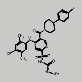 CCCNC(=O)NS(=O)(=O)c1cc(Nc2cc(C)c(Cl)cc2C)c(C(=O)N2CCC(c3ccc(F)cc3)CC2)cn1